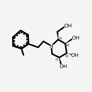 Cc1ccccc1CCN1C[C@H](O)[C@@H](O)[C@H](O)[C@@H]1CO